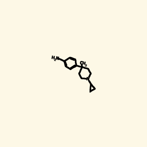 CC1(c2ccc(N)cc2)CCN(C2CC2)CC1